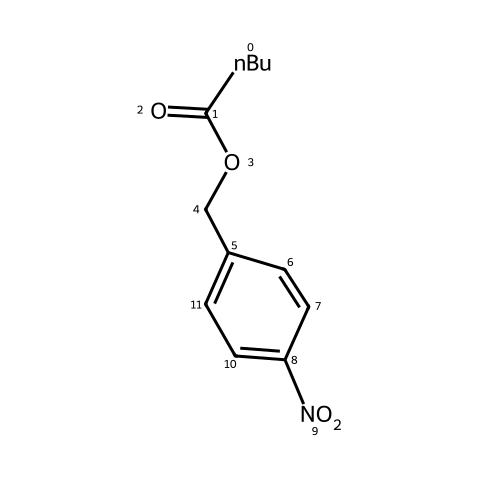 [CH2]CCCC(=O)OCc1ccc([N+](=O)[O-])cc1